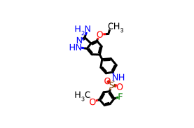 CCOc1cc(-c2ccc(NS(=O)(=O)c3cc(OC)ccc3F)cc2)cc2[nH]nc(N)c12